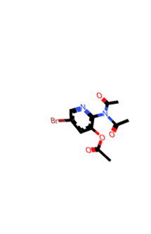 CC(=O)Oc1cc(Br)cnc1N(C(C)=O)C(C)=O